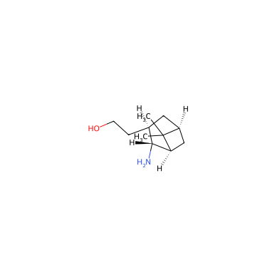 CC1(C)[C@H]2C[C@H](CCO)[C@@H](N)[C@@H]1C2